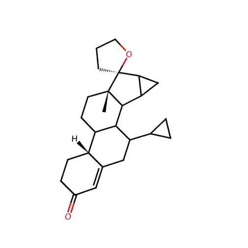 C[C@]12CCC3C(C(C4CC4)CC4=CC(=O)CC[C@@H]43)C1C1CC1[C@@]21CCCO1